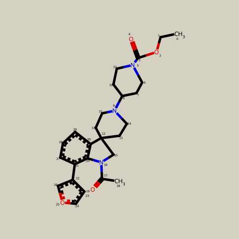 CCOC(=O)N1CCC(N2CCC3(CC2)CN(C(C)=O)c2c(-c4ccoc4)cccc23)CC1